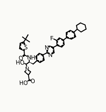 CC(C)(C)c1ccc(C(=O)N[C@@H](Cc2ccc(-c3ncc(-c4ccc(-c5ccc(C6CCCCC6)cc5)cc4F)cn3)cc2)C(O)N2CC(C(=O)O)C2)s1